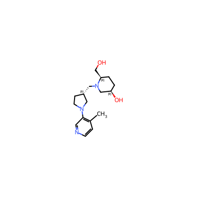 Cc1ccncc1N1CC[C@H](CN2C[C@H](O)CC[C@@H]2CO)C1